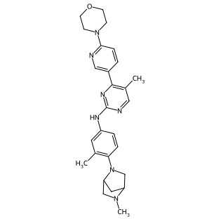 Cc1cc(Nc2ncc(C)c(-c3ccc(N4CCOCC4)nc3)n2)ccc1N1CC2CC1CN2C